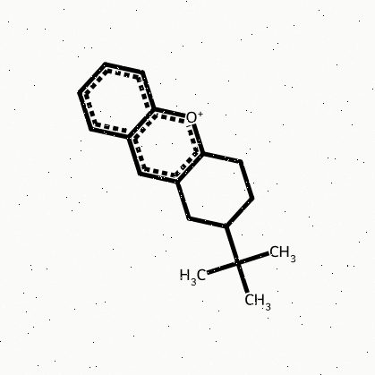 CC(C)(C)C1CCc2[o+]c3ccccc3cc2C1